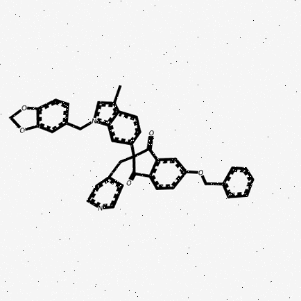 Cc1cn(Cc2ccc3c(c2)OCO3)c2cc(C3(Cc4ccncc4)C(=O)c4ccc(OCc5ccccc5)cc4C3=O)ccc12